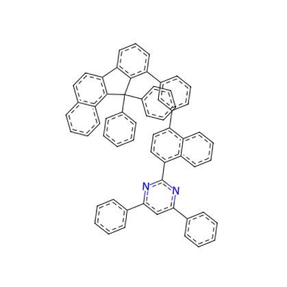 c1ccc(-c2cc(-c3ccccc3)nc(-c3ccc(-c4cccc(-c5cccc6c5C(c5ccccc5)(c5ccccc5)c5c-6ccc6ccccc56)c4)c4ccccc34)n2)cc1